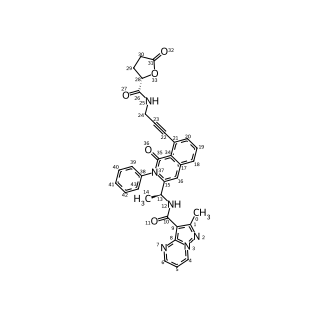 Cc1nn2cccnc2c1C(=O)N[C@@H](C)c1cc2cccc(C#CCNC(=O)[C@@H]3CCC(=O)O3)c2c(=O)n1-c1ccccc1